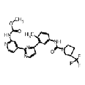 COC(=O)Nc1cc(-c2nccc(-c3cc(NC(=O)N4CCC(C(F)(F)F)C4)ccc3C)n2)ccn1